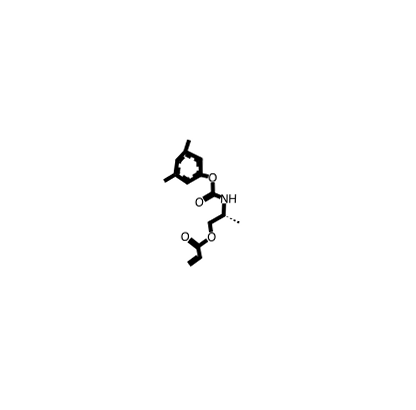 C=CC(=O)OC[C@@H](C)NC(=O)Oc1cc(C)cc(C)c1